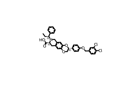 CC[C@@H](c1ccccc1)N1Cc2cc3c(cc2C[C@H]1C(=O)O)OC[C@@H](c1ccc(OCc2ccc(Cl)c(Cl)c2)cc1)O3